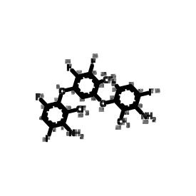 Nc1c(F)cc(F)c(Oc2cc(Oc3c(F)cc(F)c(N)c3C(F)(F)F)c(C(F)(F)F)c(F)c2F)c1C(F)(F)F